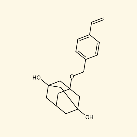 C=Cc1ccc(COC23CC4CC(O)(CC(O)(C4)C2)C3)cc1